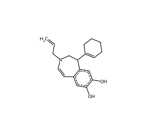 C=CCN1C=Cc2cc(O)c(O)cc2C(C2=CCCCC2)C1